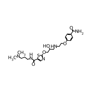 CN(C)CCCNC(=O)c1cnc(OCC(O)CNCCOc2ccc(C(N)=O)cc2)s1